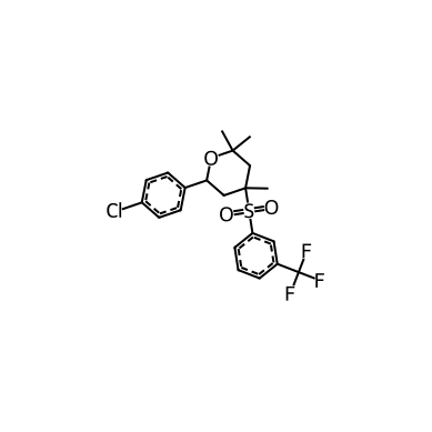 CC1(C)CC(C)(S(=O)(=O)c2cccc(C(F)(F)F)c2)CC(c2ccc(Cl)cc2)O1